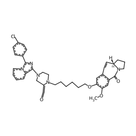 COc1cc2c(cc1OCCCCCCN1CCN(c3nc(-c4ccc(Cl)cc4)n4ccccc34)CC1=C=O)C=C[C@@H]1CCCN1C2=O